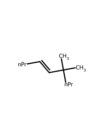 [CH2]CCC(C)(C)C=CCCC